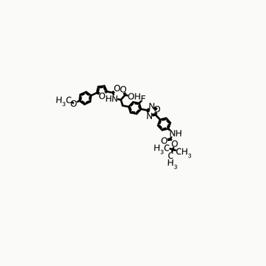 COc1ccc(-c2ccc(C(=O)NC(Cc3ccc(-c4noc(-c5ccc(NC(=O)OC(C)(C)C)cc5)n4)c(F)c3)C(=O)O)o2)cc1